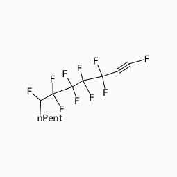 CCCCCC(F)C(F)(F)C(F)(F)C(F)(F)C(F)(F)C#CF